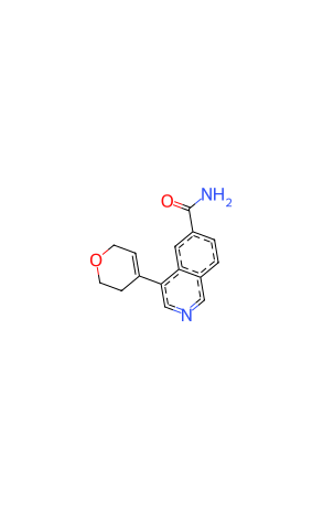 NC(=O)c1ccc2cncc(C3=CCOCC3)c2c1